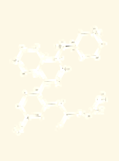 FC(F)Oc1cc(C(F)(F)F)ccc1-c1nnc(N[C@@H]2CCCNC2)c2ccncc12.O=CO